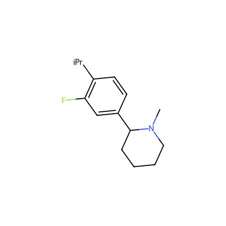 CC(C)c1ccc(C2CCCCN2C)cc1F